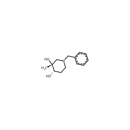 C[C@@]1(O)CN(Cc2ccccc2)CC[C@@H]1O